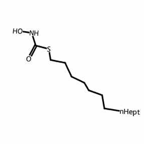 CCCCCCCCCCCCCCSC(=O)NO